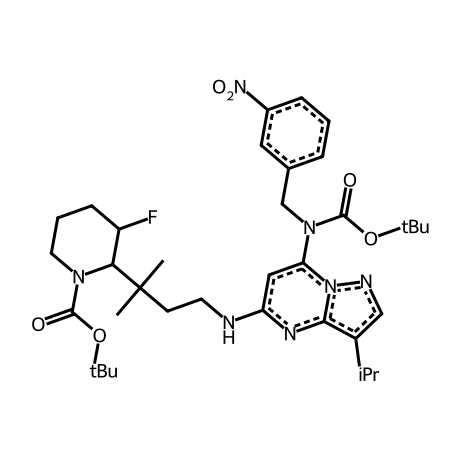 CC(C)c1cnn2c(N(Cc3cccc([N+](=O)[O-])c3)C(=O)OC(C)(C)C)cc(NCCC(C)(C)C3C(F)CCCN3C(=O)OC(C)(C)C)nc12